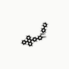 N=C1C=CC(c2ccc(-c3c4ccccc4c(-c4ccccc4)c4ccccc34)cc2)=C/C1=N/Nc1ccc(-c2cccnc2)cc1